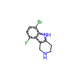 Fc1ccc(Br)c2[nH]c3c(c12)CNCC3